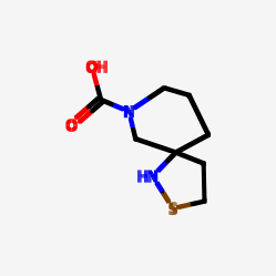 O=C(O)N1CCCC2(CCSN2)C1